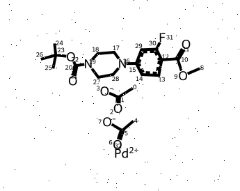 CC(=O)[O-].CC(=O)[O-].COC(=O)c1ccc(N2CCN(C(=O)OC(C)(C)C)CC2)cc1F.[Pd+2]